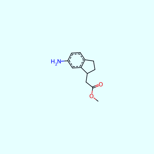 COC(=O)CC1CCc2ccc(N)cc21